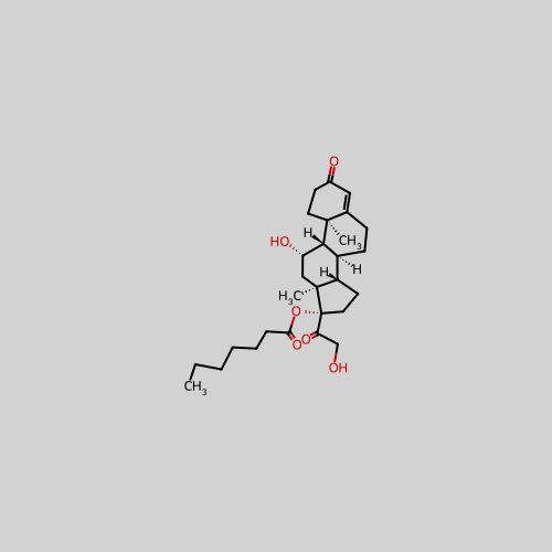 CCCCCCC(=O)O[C@@]1(C(=O)CO)CC[C@H]2[C@@H]3CCC4=CC(=O)CC[C@]4(C)[C@H]3[C@@H](O)C[C@@]21C